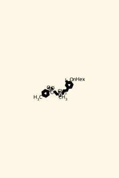 CCCCCCOc1ccc(CCC[N+](C)(C)CCOS(=O)(=O)c2ccc(C)cc2)cc1I